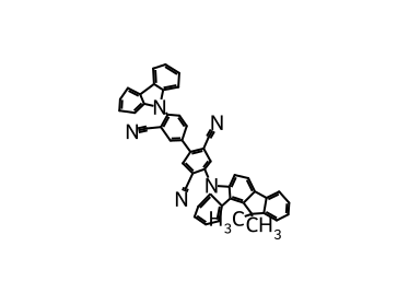 CC1(C)c2ccccc2-c2ccc3c(c21)c1ccccc1n3-c1cc(C#N)c(-c2ccc(-n3c4ccccc4c4ccccc43)c(C#N)c2)cc1C#N